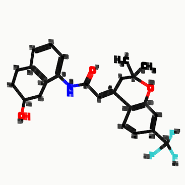 CC1(C)CC(=CC(=O)Nc2cccc3c2CC(O)CC3)c2ccc(C(F)(F)F)cc2O1